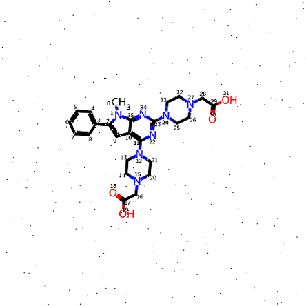 Cn1c(-c2ccccc2)cc2c(N3CCN(CC(=O)O)CC3)nc(N3CCN(CC(=O)O)CC3)nc21